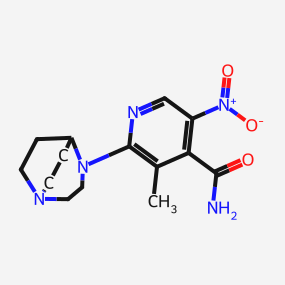 Cc1c(N2CCN3CCC2CC3)ncc([N+](=O)[O-])c1C(N)=O